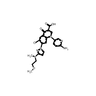 COCCN(C)c1ccn(-c2cc3c(cc2Cl)c(=O)c(C(=O)O)cn3-c2ccc(N)nc2)n1